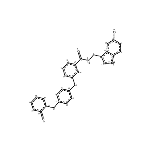 O=C(NCc1n[nH]c2ccc(Cl)cc12)c1nccc(Cc2ccc(Cn3ccccc3=O)cc2)n1